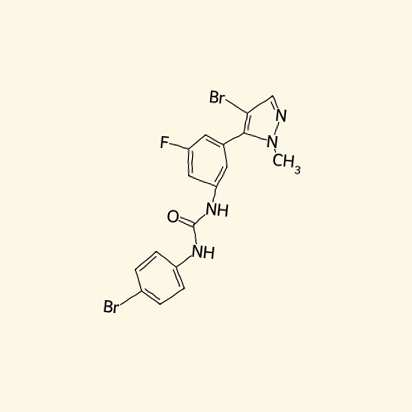 Cn1ncc(Br)c1-c1cc(F)cc(NC(=O)Nc2ccc(Br)cc2)c1